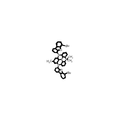 Cc1cc2c3c(c1)N(c1cccc4c1oc1c(C(C)(C)C)cccc14)c1cccc4c1B3c1c(cccc1[Si]4(C)C)N2c1cccc2c1oc1c(C(C)(C)C)cccc12